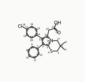 CC1(C)CSc2c(-c3ccccc3)c(-c3ccc(Cl)cc3)c(CC(=O)O)n2C1